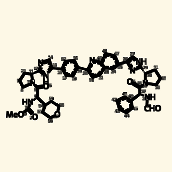 COC(=O)N[C@H](C(=O)N1CCC[C@H]1c1ncc(-c2ccc(-c3ccc4cc(-c5c[nH]c([C@@H]6CCCN6C(=O)[C@H](NC=O)c6ccccc6)n5)ccc4n3)cc2)[nH]1)C1CCOCC1